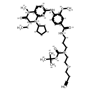 C#CCCOCCN(CCCNC(=O)c1ccc(Nc2ncc3c(n2)N(C2CCCC2)[C@H](CC)C(=O)N3C)c(OC)c1)C(=O)OC(C)(C)C